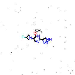 COc1nc(-c2c[nH]nn2)ncc1N1CC(F)C1